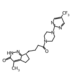 Cc1c2c(n[nH]c1=O)[C@@H](CCCC(=O)N1CCN(c3ncc(C(F)(F)F)cn3)CC1)CC2